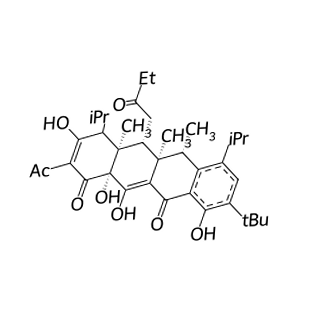 CCC(=O)C[C@@H]1[C@]2(C)C(=C(O)[C@@]3(O)C(=O)C(C(C)=O)=C(O)C(C(C)C)[C@@]13C)C(=O)c1c(O)c(C(C)(C)C)cc(C(C)C)c1[C@H]2C